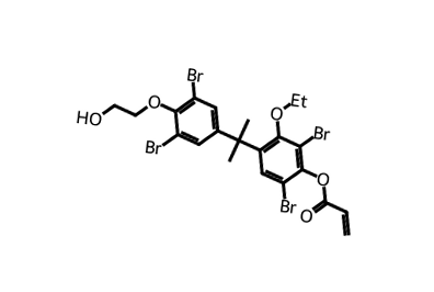 C=CC(=O)Oc1c(Br)cc(C(C)(C)c2cc(Br)c(OCCO)c(Br)c2)c(OCC)c1Br